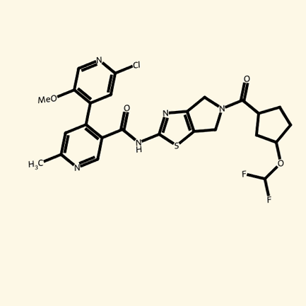 COc1cnc(Cl)cc1-c1cc(C)ncc1C(=O)Nc1nc2c(s1)CN(C(=O)C1CCC(OC(F)F)C1)C2